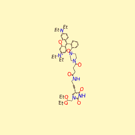 CCOC(Cn1cc(C#CCNC(=O)CCC(=O)N2CCN(C(=O)c3ccccc3-c3c4ccc(=[N+](CC)CC)cc-4oc4cc(N(CC)CC)ccc34)CC2)c(=O)[nH]c1=O)OCC